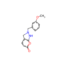 COc1cccc(CN2Cc3ccc(=O)oc3N2)c1